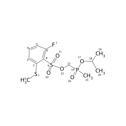 CSc1cccc(F)c1S(=O)(=O)OCP(C)(=O)OC(C)C